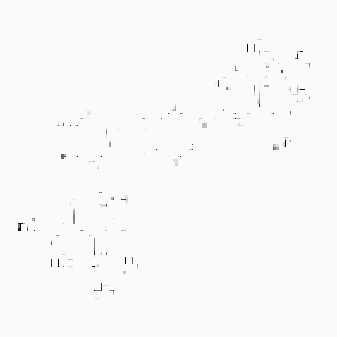 CC(C)CC1=CC(C2C=C(OC3CC=CC(C4=CC(CC(C)C)=C([Si](C)(C)C)CN4)C3)C=CC2)NC=C1[Si](C)(C)C